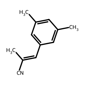 CC(C#N)=Cc1cc(C)cc(C)c1